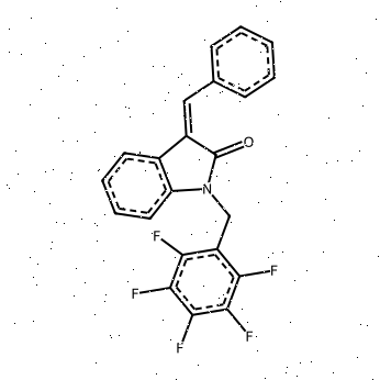 O=C1C(=Cc2ccccc2)c2ccccc2N1Cc1c(F)c(F)c(F)c(F)c1F